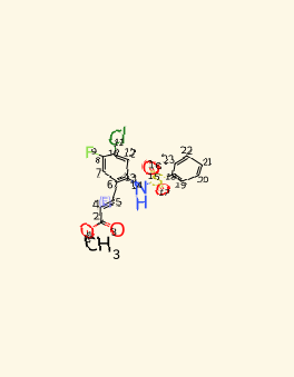 COC(=O)/C=C/c1cc(F)c(Cl)cc1NS(=O)(=O)c1ccccc1